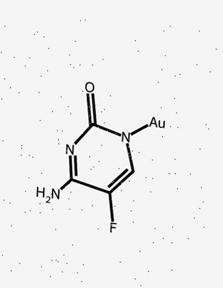 Nc1nc(=O)[n]([Au])cc1F